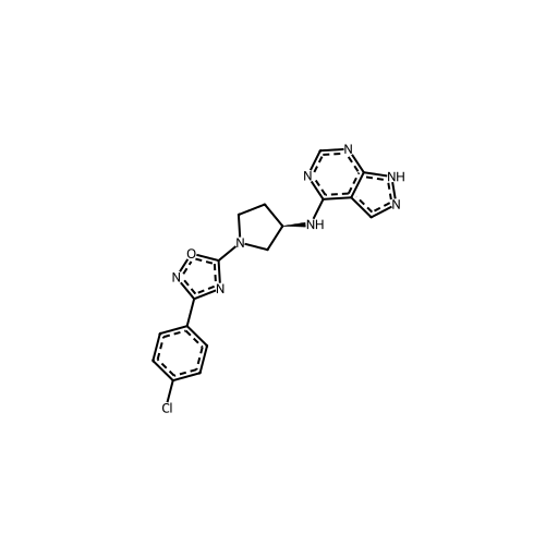 Clc1ccc(-c2noc(N3CC[C@@H](Nc4ncnc5[nH]ncc45)C3)n2)cc1